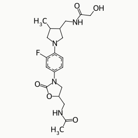 CC(=O)NCC1CN(c2ccc(N3CC(C)C(CNC(=O)CO)C3)c(F)c2)C(=O)O1